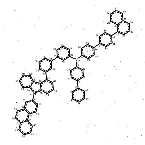 c1ccc(-c2ccc(N(c3ccc(-c4ccc(-c5cccc6ccccc56)cc4)cc3)c3cccc(-c4cccc(-c5cccc6c5c5ccccc5n6-c5ccc6c(ccc7ccccc76)c5)c4)c3)cc2)cc1